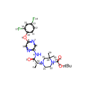 C[C@@H](C(=O)Nc1cnc(Oc2ccc(F)cc2F)cn1)N1CCN(C(=O)OC(C)(C)C)C(C)(C)C1